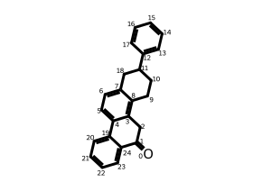 O=C1Cc2c(ccc3c2CCC(c2ccccc2)C3)-c2ccccc21